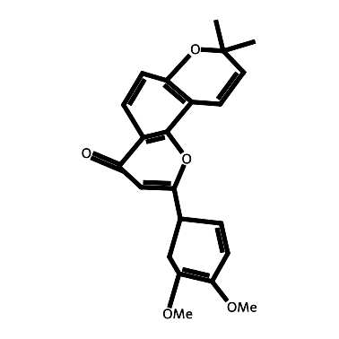 COC1=C(OC)CC(c2cc(=O)c3ccc4c(c3o2)C=CC(C)(C)O4)C=C1